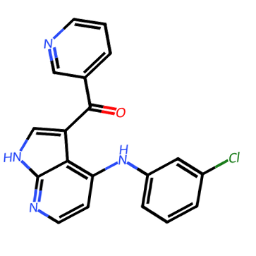 O=C(c1cccnc1)c1c[nH]c2nccc(Nc3cccc(Cl)c3)c12